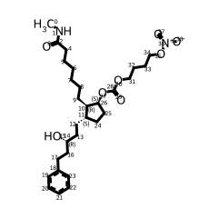 CNC(=O)CCCCCC[C@@H]1[C@@H](CC[C@@H](O)CCc2ccccc2)CC[C@@H]1OC(=O)OCCCCO[N+](=O)[O-]